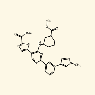 COC(=O)c1nnc(-c2cnc(-c3cccc(-c4cnn(C)c4)c3)nc2NC2CCCN(C(=O)OC(C)(C)C)C2)s1